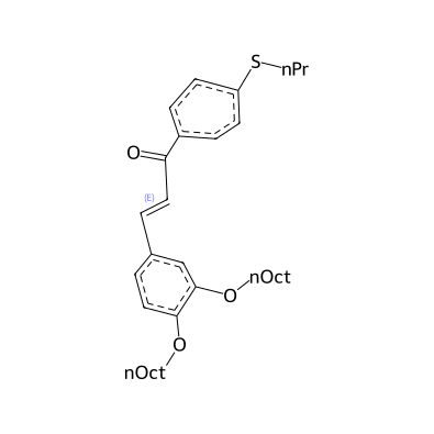 CCCCCCCCOc1ccc(/C=C/C(=O)c2ccc(SCCC)cc2)cc1OCCCCCCCC